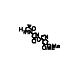 COc1cc2nccc(Oc3ncc(NC(=O)C4(C)CC4)cc3Cl)c2cc1OC